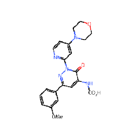 COc1cccc(-c2cc(NC(=O)O)c(=O)n(-c3cc(N4CCOCC4)ccn3)n2)c1